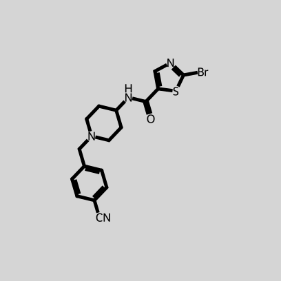 N#Cc1ccc(CN2CCC(NC(=O)c3cnc(Br)s3)CC2)cc1